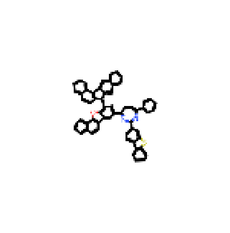 C1=CC(c2cc(C3c4cc5ccccc5cc4-c4c3ccc3ccccc43)c3oc4c5ccccc5ccc4c3c2)=NC(c2ccc3c(c2)sc2ccccc23)=NC=1c1ccccc1